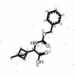 CC12CC(C(NC(=O)OCc3ccccc3)C(=O)O)(C1)C2